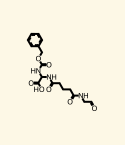 O=CCNC(=O)CCCC(=O)NC(NC(=O)OCc1ccccc1)C(=O)O